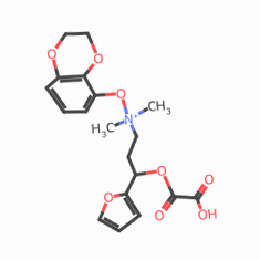 C[N+](C)(CCC(OC(=O)C(=O)O)c1ccco1)Oc1cccc2c1OCCO2